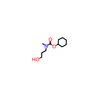 CN(CCCO)C(=O)OC1CCCCC1